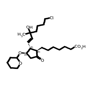 CC(O)(C=C[C@H]1[C@H](OC2CCCCO2)CC(=O)[C@@H]1CCCCCCC(=O)O)CCCCCl